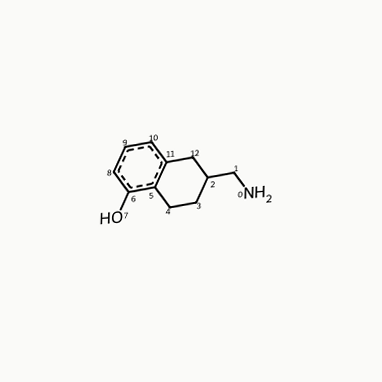 NCC1CCc2c(O)cccc2C1